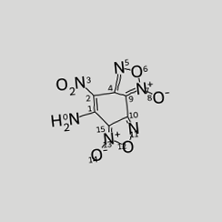 Nc1c([N+](=O)[O-])c2no[n+]([O-])c2c2no[n+]([O-])c12